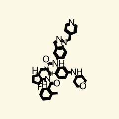 Cc1cccc(F)c1C(=O)N1[C@@H]2CCC[C@@H]2C[C@H](C(=O)Nc2ccc3c(cnn3Cc3ccncc3)c2)[C@@H]1c1ccc(NC2CCOCC2)cc1